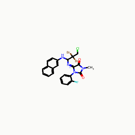 CN1C(=O)/C(=N\C(Nc2ccc3ccccc3c2)C(Br)(Br)CCl)N(c2ccccc2F)C1=O